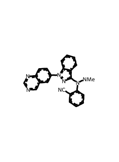 CNN(c1ccccc1C#N)c1nn(-c2ccc3ncncc3c2)c2ccccc12